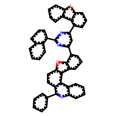 c1ccc(-c2nc3ccccc3c3c2ccc2oc4c(-c5cc(-c6cccc7sc8ccccc8c67)nc(-c6cccc7ccccc67)n5)cccc4c23)cc1